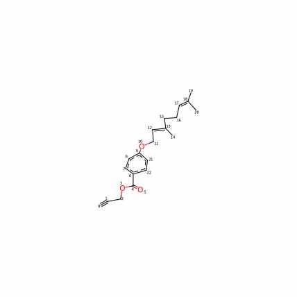 C#CCOC(=O)c1ccc(OC/C=C(\C)CCC=C(C)C)cc1